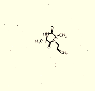 C=CCN1C(=O)[C@H](C)NC(=O)[C@H]1C